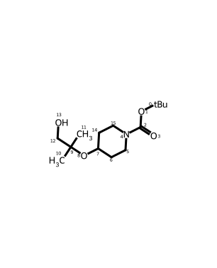 CC(C)(C)OC(=O)N1CCC(OC(C)(C)CO)CC1